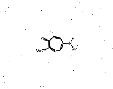 COc1ccc(N(C)C(C)=O)ccc1=O